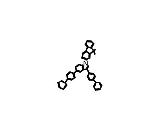 CC1(C)c2ccccc2-c2ccc(-n3cc(-c4ccc(-c5ccccc5)cc4)c4cc(-c5ccc(-c6ccccc6)cc5)ccc43)cc21